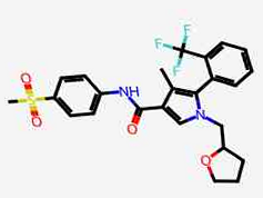 Cc1c(C(=O)Nc2ccc(S(C)(=O)=O)cc2)cn(CC2CCCO2)c1-c1ccccc1C(F)(F)F